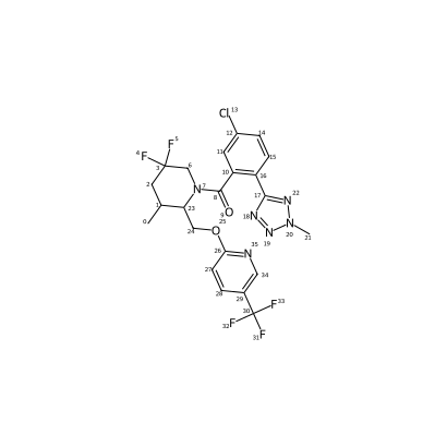 CC1CC(F)(F)CN(C(=O)c2cc(Cl)ccc2-c2nnn(C)n2)C1COc1ccc(C(F)(F)F)cn1